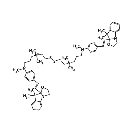 CN(CCC[N+](C)(C)CCSSCC[N+](C)(C)CCCN(C)c1ccc(/C=C/C23OCCN2c2ccccc2C3(C)C)cc1)c1ccc(/C=C/C23OCCN2c2ccccc2C3(C)C)cc1